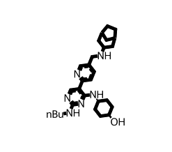 CCCCNc1ncc(-c2ccc(CNC3CC4CCC(C4)C3)cn2)c(N[C@H]2CC[C@H](O)CC2)n1